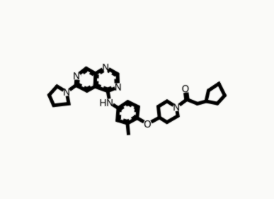 Cc1cc(Nc2ncnc3cnc(N4CCCC4)cc23)ccc1OC1CCN(C(=O)CC2CCCC2)CC1